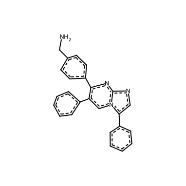 NCc1ccc(-c2nc3ncc(-c4ccccc4)n3cc2-c2ccccc2)cc1